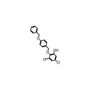 Oc1cc(Cl)cc(Cl)c1OCc1ccc(OCc2ccccc2)cc1